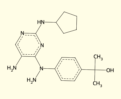 CC(C)(O)c1ccc(N(N)c2nc(NC3CCCC3)ncc2N)cc1